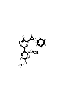 COc1ncc(-c2cc(C3C[C@@H]3c3ccccc3)c(Cl)nn2)c(OC)n1